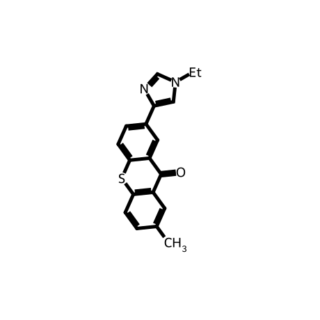 CCn1cnc(-c2ccc3sc4ccc(C)cc4c(=O)c3c2)c1